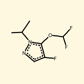 CC(C)n1n[c]c(F)c1OC(F)F